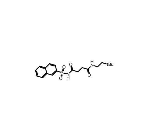 CC(C)(C)CCNC(=O)CCC(=O)NS(=O)(=O)c1ccc2ccccc2c1